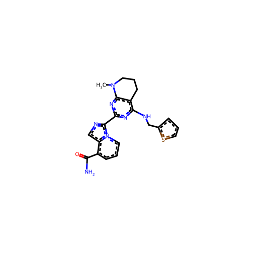 CN1CCCc2c(NCc3cccs3)nc(-c3ncc4c(C(N)=O)cccn34)nc21